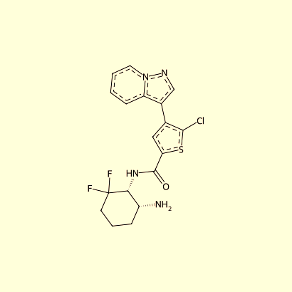 N[C@@H]1CCCC(F)(F)[C@@H]1NC(=O)c1cc(-c2cnn3ccccc23)c(Cl)s1